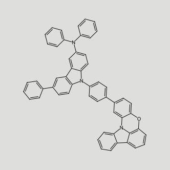 c1ccc(-c2ccc3c(c2)c2cc(N(c4ccccc4)c4ccccc4)ccc2n3-c2ccc(-c3ccc4c(c3)-n3c5ccccc5c5cccc(c53)O4)cc2)cc1